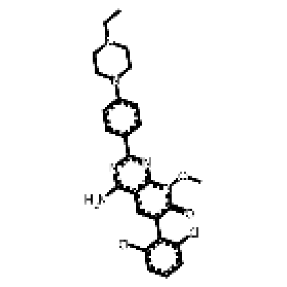 CCN1CCN(c2ccc(-c3nc(N)c4cc(-c5c(Cl)cccc5Cl)c(=O)n(OC)c4n3)cc2)CC1